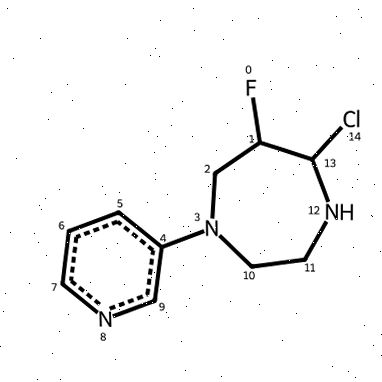 FC1CN(c2cccnc2)CCNC1Cl